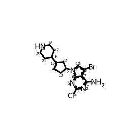 Nc1nc(Cl)nc2c1c(Br)cn2C1CCC(C2CCNCC2)C1